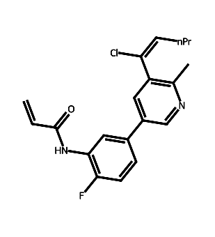 C=CC(=O)Nc1cc(-c2cnc(C)c(/C(Cl)=C\CCC)c2)ccc1F